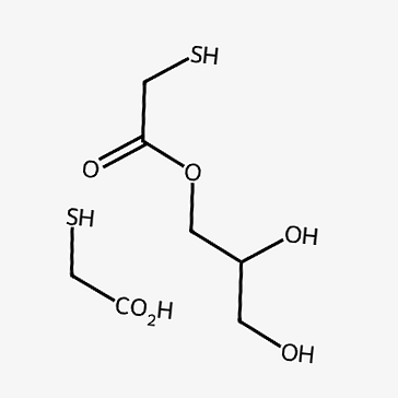 O=C(CS)OCC(O)CO.O=C(O)CS